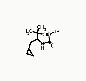 CC(C)(C)OC(=O)NC(CC1CC1)C(C)(C)C#N